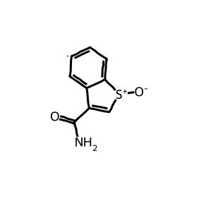 NC(=O)c1c[s+]([O-])c2cc[c]cc12